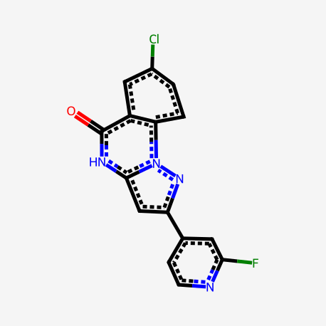 O=c1[nH]c2cc(-c3ccnc(F)c3)nn2c2ccc(Cl)cc12